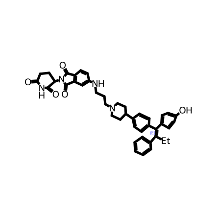 CC/C(=C(\c1ccc(O)cc1)c1ccc(C2CCN(CCCNc3ccc4c(c3)C(=O)N(C3CCC(=O)NC3=O)C4=O)CC2)cc1)c1ccccc1